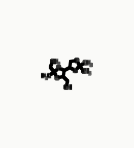 CCC1(C)OC(CO)C(C2COC(C)(C)O2)O1